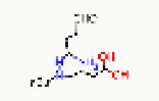 CCCCN(CCCC(O)O)NC(N)CCC=O